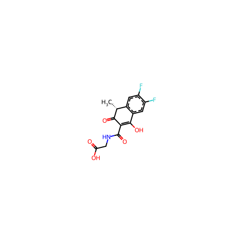 C[C@H]1C(=O)C(C(=O)NCC(=O)O)=C(O)c2cc(F)c(F)cc21